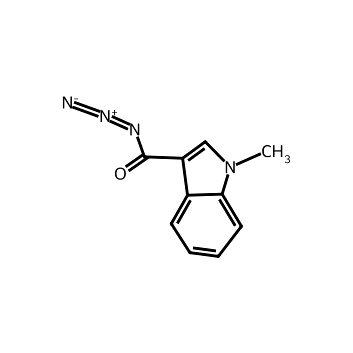 Cn1cc(C(=O)N=[N+]=[N-])c2ccccc21